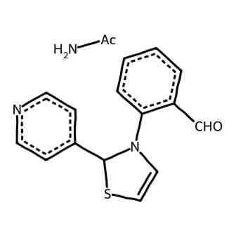 CC(N)=O.O=Cc1ccccc1N1C=CSC1c1ccncc1